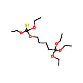 CCO[Si](S)(OCC)OCCCC[Si](OCC)(OCC)OCC